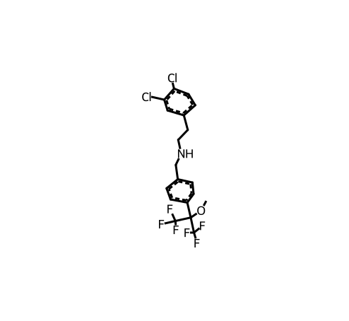 COC(c1ccc(CNCCc2ccc(Cl)c(Cl)c2)cc1)(C(F)(F)F)C(F)(F)F